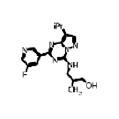 CC(CO)CNc1nc(-c2cncc(F)c2)nc2c(C(C)C)cnn12